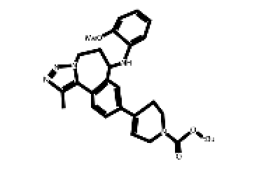 COc1ccccc1NC1CCn2nnc(C)c2-c2ccc(C3=CCN(C(=O)OC(C)(C)C)CC3)cc21